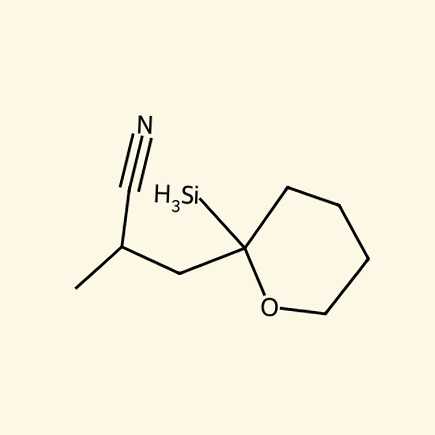 CC(C#N)CC1([SiH3])CCCCO1